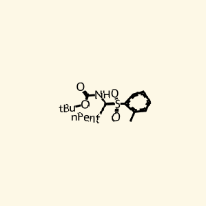 CCCCCC(NC(=O)OC(C)(C)C)S(=O)(=O)c1ccccc1C